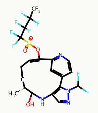 C[C@@H]1CC/C=C(/OS(=O)(=O)C(F)(F)C(F)(F)C(F)(F)C(F)(F)F)c2cc(ccn2)-c2c(cnn2C(F)F)NC1O